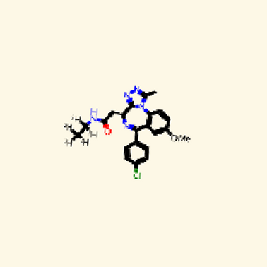 [2H]C([2H])([2H])C([2H])([2H])NC(=O)C[C@@H]1N=C(c2ccc(Cl)cc2)c2cc(OC)ccc2-n2c(C)nnc21